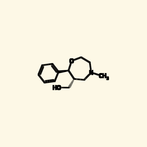 CN1CCO[C@H](c2ccccc2)[C@@H](CO)C1